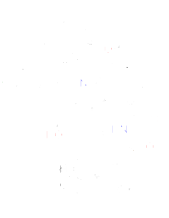 C=CCC(O)C1CCC1CN1CC2(CCCc3cc(Cl)ccc32)COc2ccc(C(=O)N[S+]([O-])C(CC)CC=C)cc21